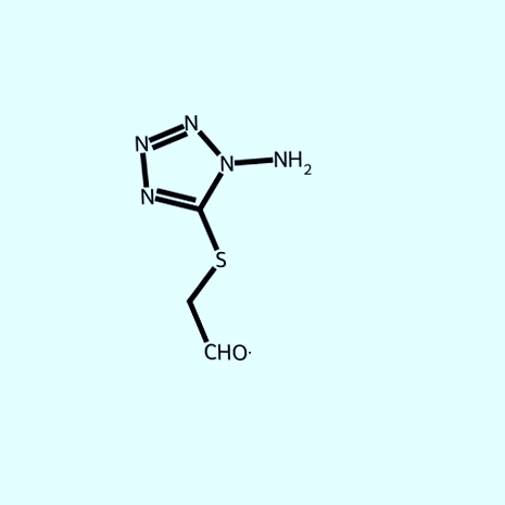 Nn1nnnc1SC[C]=O